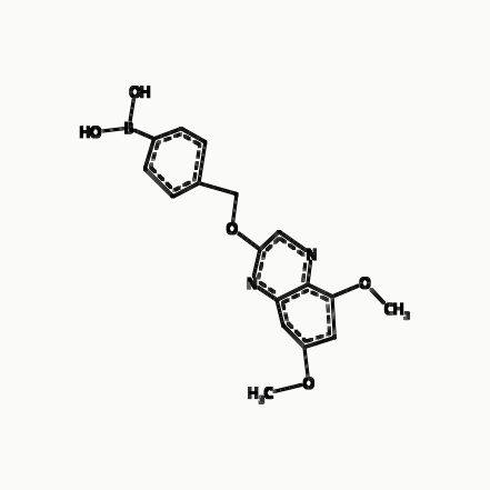 COc1cc(OC)c2ncc(OCc3ccc(B(O)O)cc3)nc2c1